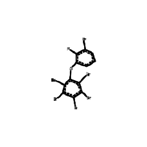 Fc1c(Br)cccc1Oc1c(Br)c(Br)c(Br)c(Br)c1Br